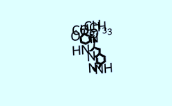 COc1cc(Nc2nc3c(ccc4[nH]cnc43)cc2C#N)cc(OC)c1OC